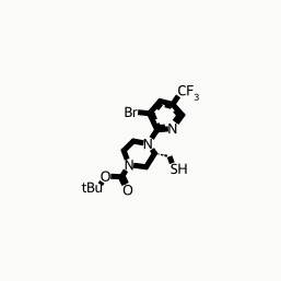 CC(C)(C)OC(=O)N1CCN(c2ncc(C(F)(F)F)cc2Br)[C@H](CS)C1